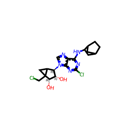 O[C@H]1[C@H](n2cnc3c(NC4CC5CCC4C5)nc(Cl)nc32)C2CC2(CCl)[C@H]1O